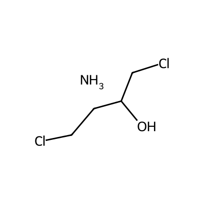 N.OC(CCl)CCCl